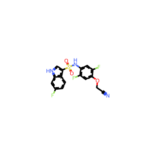 N#CCOc1cc(F)c(NS(=O)(=O)c2c[nH]c3cc(F)ccc23)cc1F